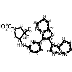 O=C(O)N1CC(Nc2cccc(-c3c(-c4cnn5ncccc45)nc4cccnn34)n2)C(F)(F)C1